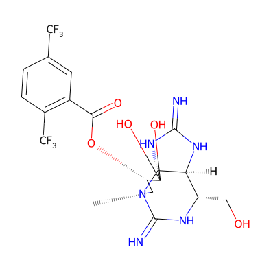 C[C@H]1[C@H](OC(=O)c2cc(C(F)(F)F)ccc2C(F)(F)F)C(O)(O)[C@]23NC(=N)N[C@H]2[C@H](CO)NC(=N)N13